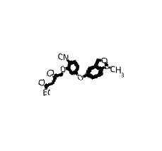 [C-]#[N+]c1ccc(Oc2ccc3c(c2)COB3C)cc1OCC(=O)CC(=O)CC